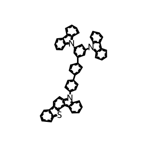 c1ccc2c(c1)sc1c2ccc2c1c1ccccc1n2-c1ccc(-c2ccc(-c3cc(-n4c5ccccc5c5ccccc54)cc(-n4c5ccccc5c5ccccc54)c3)cc2)cc1